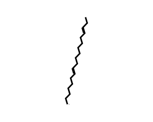 [CH2]CCCCCC=CCCCCCCC=CCC